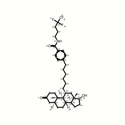 C[C@]12CCC(=O)C[C@@H]1CC[C@@H]1[C@@H]2[C@@H](CCCCCCc2ccc(C(=O)NCCCC(F)(F)C(F)(F)F)cc2)C[C@]2(C)[C@@H](O)CC[C@@H]12